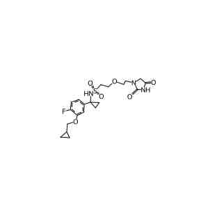 O=C1CN(CCOCCS(=O)(=O)NC2(c3ccc(F)c(OCC4CC4)c3)CC2)C(=O)N1